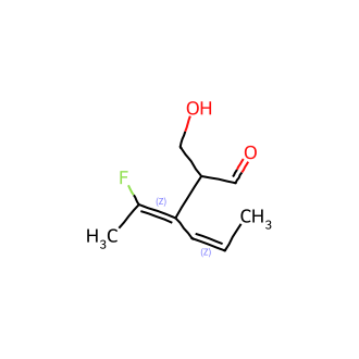 C/C=C\C(=C(/C)F)C(C=O)CO